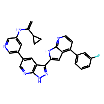 C=C(Nc1cncc(-c2cnc3[nH]nc(-c4cc5c(-c6cccc(F)c6)ccnc5[nH]4)c3c2)c1)C1CC1